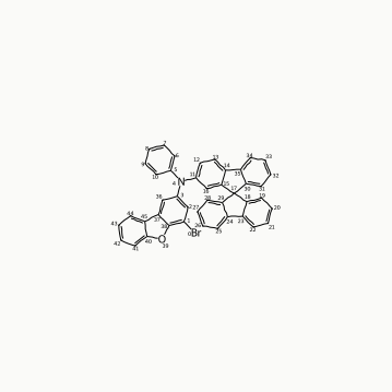 Brc1cc(N(c2ccccc2)c2ccc3c(c2)C2(c4ccccc4-c4ccccc42)c2ccccc2-3)cc2c1oc1ccccc12